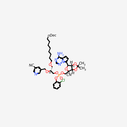 CCCCCCCCCCCCCCCCCCOC[C@H](COP(=O)(OC[C@@]1(C#N)OC(c2ccc3c(N)ncnn23)[C@@H]2OC(C)(C)O[C@@H]21)Oc1ccccc1Cl)OCc1cncc(C#N)c1